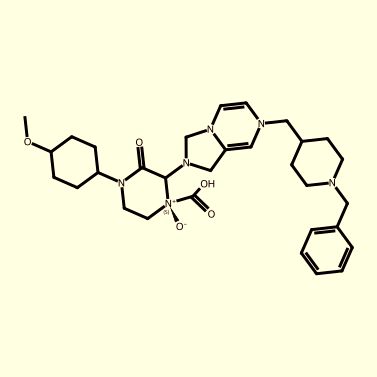 COC1CCC(N2CC[N@@+]([O-])(C(=O)O)C(N3CC4=CN(CC5CCN(Cc6ccccc6)CC5)C=CN4C3)C2=O)CC1